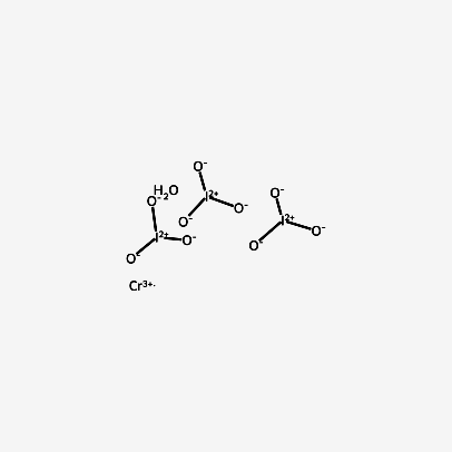 O.[Cr+3].[O-][I+2]([O-])[O-].[O-][I+2]([O-])[O-].[O-][I+2]([O-])[O-]